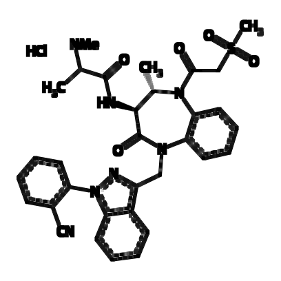 CNC(C)C(=O)N[C@@H]1C(=O)N(Cc2nn(-c3ccccc3C#N)c3ccccc23)c2ccccc2N(C(=O)CS(C)(=O)=O)[C@H]1C.Cl